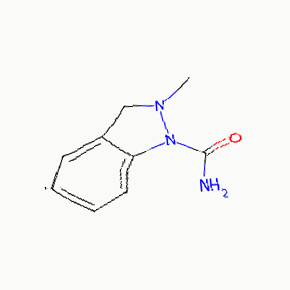 CN1Cc2c[c]ccc2N1C(N)=O